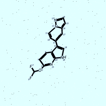 FC(F)Oc1ccc2c(-c3ccn4nccc4c3)c[nH]c2n1